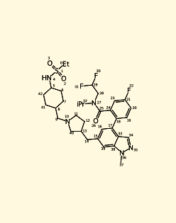 CCS(=O)(=O)NC1CCC(CN2CCC(Cc3cc(-c4ccc(F)cc4C(=O)N(CC(F)F)C(C)C)c4cnn(C)c4c3)C2)CC1